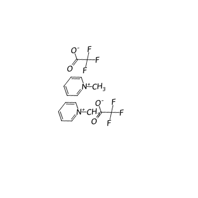 C[n+]1ccccc1.C[n+]1ccccc1.O=C([O-])C(F)(F)F.O=C([O-])C(F)(F)F